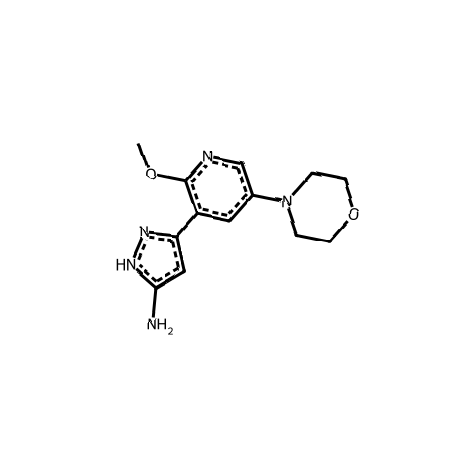 COc1ncc(N2CCOCC2)cc1-c1cc(N)[nH]n1